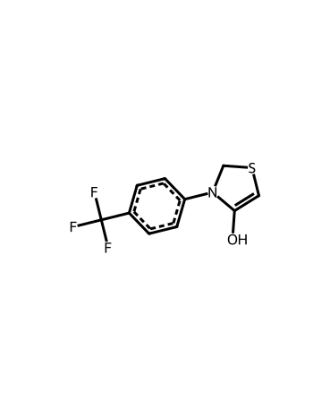 OC1=CSCN1c1ccc(C(F)(F)F)cc1